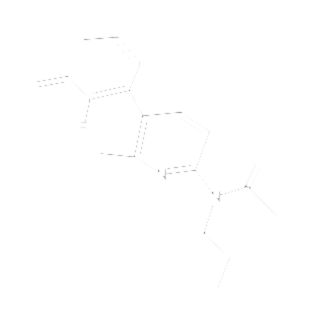 C=C/C(F)=C(\C=C/C)c1ccc(N(CCC)C(C)=O)nc1C